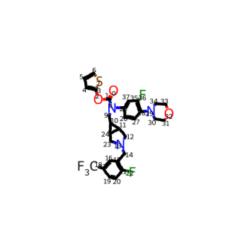 O=C(Oc1cccs1)N(CC1C2CN(Cc3cc(C(F)(F)F)ccc3F)CC21)c1ccc(N2CCOCC2)c(F)c1